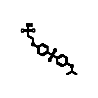 CC(C)Oc1ccc(S(=O)(=O)c2ccc(OCCS(=O)(=O)O)cc2)cc1